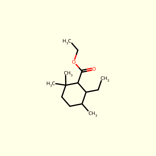 CCOC(=O)C1C(CC)C(C)CCC1(C)C